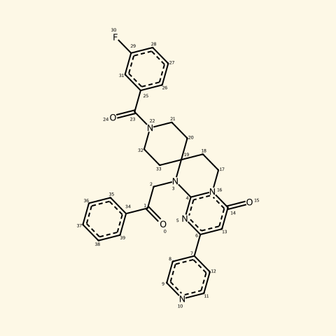 O=C(CN1c2nc(-c3ccncc3)cc(=O)n2CCC12CCN(C(=O)c1cccc(F)c1)CC2)c1ccccc1